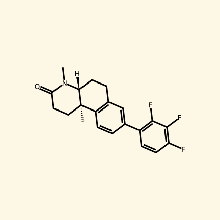 CN1C(=O)CC[C@]2(C)c3ccc(-c4ccc(F)c(F)c4F)cc3CC[C@@H]12